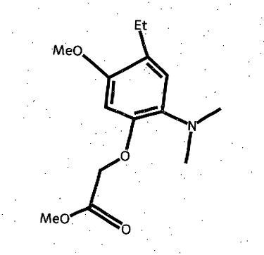 CCc1cc(N(C)C)c(OCC(=O)OC)cc1OC